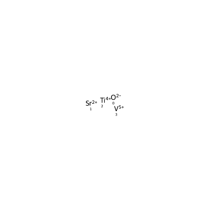 [O-2].[Sr+2].[Ti+4].[V+5]